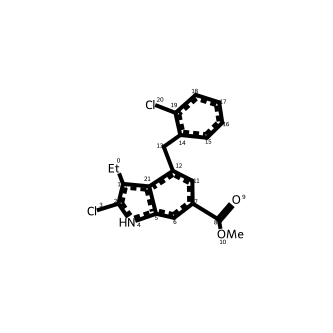 CCc1c(Cl)[nH]c2cc(C(=O)OC)cc(Cc3ccccc3Cl)c12